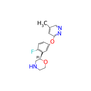 Cc1cnnc(Oc2ccc(F)c([C@@H]3CNCCO3)c2)c1